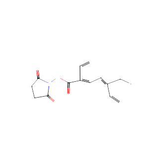 C=C/C(=C\C=C(/C=C)C(=O)ON1C(=O)CCC1=O)CC(C)C